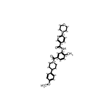 COc1ccc(C2CCN(C(=O)c3ccc(C)c(NC(=O)c4ccc(N5CCOCC5)nc4)c3)CC2)cc1